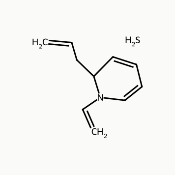 C=CCC1C=CC=CN1C=C.S